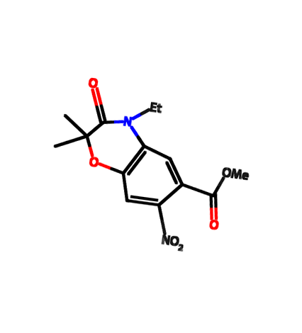 CCN1C(=O)C(C)(C)Oc2cc([N+](=O)[O-])c(C(=O)OC)cc21